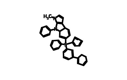 Cn1ccc2c1N(c1ccccc1)C1C=C(S(c3ccccc3)(c3ccccc3)c3cccc(C4=CC=CCC4)c3)C=CC21